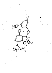 COc1c(C(N)CC(C)C)ccc2c1C(=O)OCc1cc(C)cc(O)c1O2